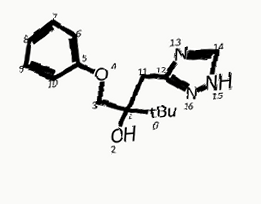 CC(C)(C)C(O)(COc1ccccc1)Cc1nc[nH]n1